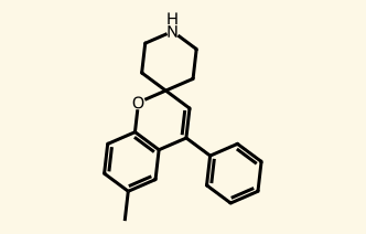 Cc1ccc2c(c1)C(c1ccccc1)=CC1(CCNCC1)O2